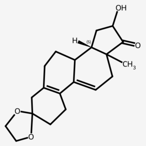 CC12CC=C3C4=C(CCC3[C@@H]1CC(O)C2=O)CC1(CC4)OCCO1